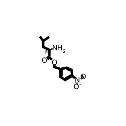 CC(C)C[C@@H](N)C(=O)OCc1ccc([N+](=O)[O-])cc1